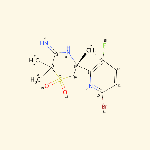 CC1(C)C(=N)N[C@](C)(c2nc(Br)ccc2F)CS1(=O)=O